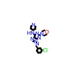 Clc1cccc(C=Nn2cnc3c(Nc4ccncc4)nc(N4CCOCC4)nc32)c1